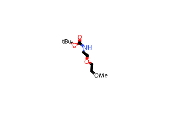 COCCOCCNC(=O)OC(C)(C)C